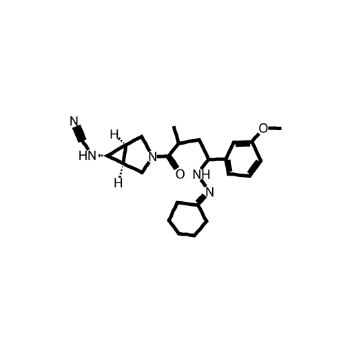 COc1cccc(C(CC(C)C(=O)N2C[C@@H]3[C@H](C2)[C@H]3NC#N)NN=C2CCCCC2)c1